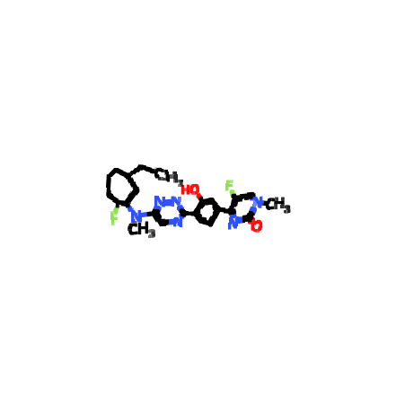 CC[C@@H]1CCC[C@H](F)[C@H](N(C)c2cnc(-c3ccc(-c4nc(=O)n(C)cc4F)cc3O)nn2)C1